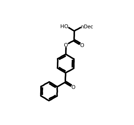 CCCCCCCCCCC(O)C(=O)Oc1ccc(C(=O)c2ccccc2)cc1